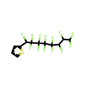 FC(F)C(F)C(F)C(F)(F)C(F)(F)C(F)(F)C(F)(F)C(F)c1cccs1